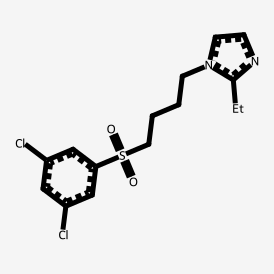 CCc1nccn1CCCCS(=O)(=O)c1cc(Cl)cc(Cl)c1